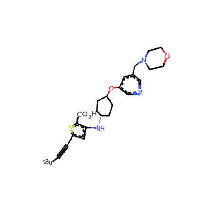 CC(C)(C)C#Cc1cc(N[C@H]2CC[C@H](Oc3cncc(CN4CCOCC4)c3)CC2)c(C(=O)O)s1